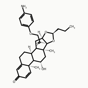 CCC[C@@H]1O[C@@H]2CC3[C@@H]4CCC5=CC(=O)C=C[C@]5(C)C4[C@@H](O)C[C@]3(C)[C@]2(C(=O)COc2ccc(N)cc2)O1